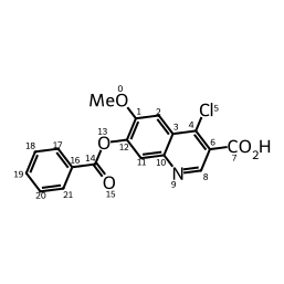 COc1cc2c(Cl)c(C(=O)O)cnc2cc1OC(=O)c1ccccc1